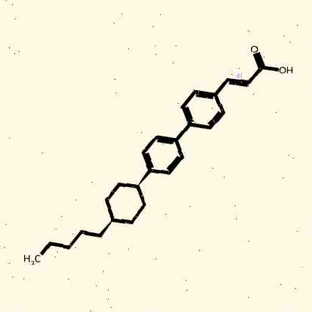 CCCCC[C@H]1CC[C@@H](c2ccc(-c3ccc(/C=C/C(=O)O)cc3)cc2)CC1